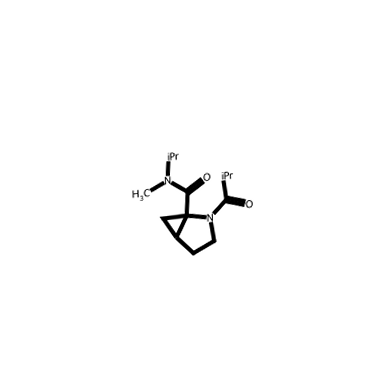 CC(C)C(=O)N1CCC2CC21C(=O)N(C)C(C)C